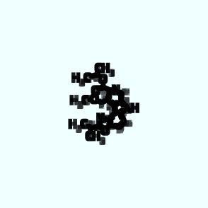 COCc1c(C(=O)OC(C)C)ncc2[nH]c3ccc4oc(C(C)C)nc4c3c12